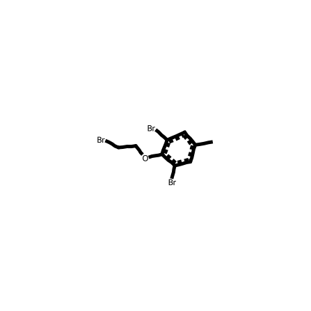 Cc1cc(Br)c(OCCBr)c(Br)c1